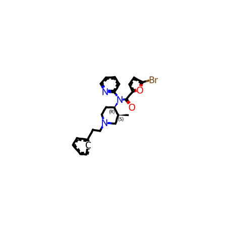 C[C@H]1CN(CCc2ccccc2)CC[C@H]1N(C(=O)c1ccc(Br)o1)c1ccccn1